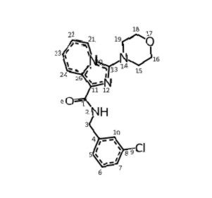 O=C(NCc1cccc(Cl)c1)c1nc(N2CCOCC2)n2ccccc12